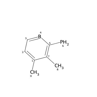 Cc1ccbc(P)c1C